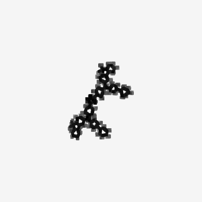 CC1(C)c2ccccc2-c2cc(N(c3ccc(-c4ccccc4)cc3)c3ccc(-c4nsc(-c5ccc(N(c6ccc(-c7ccccc7)cc6)c6ccc7c(c6)-c6ccccc6C7(C)C)cc5)n4)cc3)ccc21